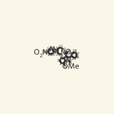 COc1cccc2c(C(=O)N3CCCN(c4ccc([N+](=O)[O-])cn4)CC3)c(-c3ccccc3)n(C)c12